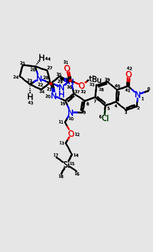 Cn1ccc2c(Cl)c(-c3cn(COCC[Si](C)(C)C)c4nc(N5[C@@H]6CC[C@H]5C[C@@H](NC(=O)OC(C)(C)C)C6)cnc34)ccc2c1=O